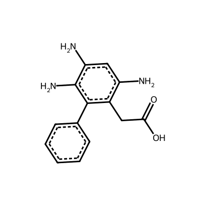 Nc1cc(N)c(CC(=O)O)c(-c2ccccc2)c1N